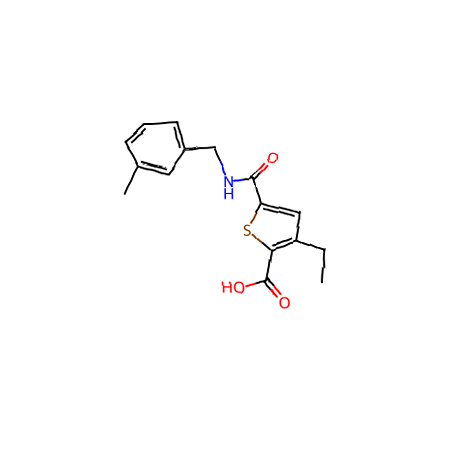 CCc1cc(C(=O)NCc2cccc(C)c2)sc1C(=O)O